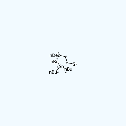 CCCCCCCCCCCC[S-].CCC[CH2][Sn+]([CH2]CCC)[CH2]CCC